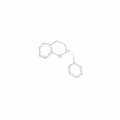 c1ccc(C[C@H]2CCc3ccccc3O2)cc1